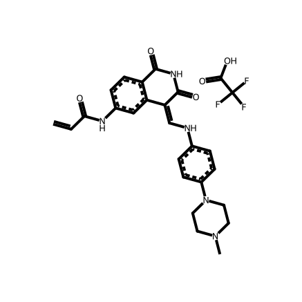 C=CC(=O)Nc1ccc2c(c1)/C(=C/Nc1ccc(N3CCN(C)CC3)cc1)C(=O)NC2=O.O=C(O)C(F)(F)F